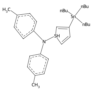 CCC[CH2][Sn]([CH2]CCC)([CH2]CCC)[C]1=C[SH](N(c2ccc(C)cc2)c2ccc(C)cc2)C=C1